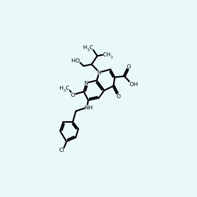 COc1nc2c(cc1NCc1ccc(Cl)cc1)c(=O)c(C(=O)O)cn2C(CO)C(C)C